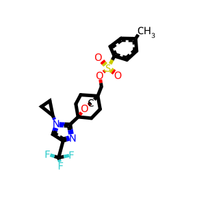 Cc1ccc(S(=O)(=O)OCC23CCC(c4nc(C(F)(F)F)cn4C4CC4)(CC2)OC3)cc1